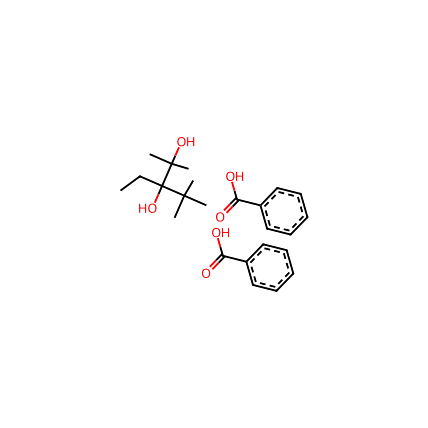 CCC(O)(C(C)(C)C)C(C)(C)O.O=C(O)c1ccccc1.O=C(O)c1ccccc1